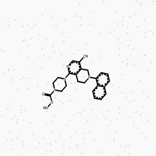 CC(C)(C)OC(=O)N1CCN(c2ncc(C#N)c3c2CCN(c2cccc4ccccc24)C3)CC1